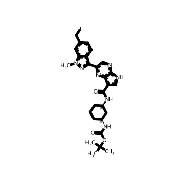 Cn1nc(-c2cnc3[nH]cc(C(=O)N[C@@H]4CCC[C@@H](NC(=O)OC(C)(C)C)C4)c3n2)c2ccc(CI)cc21